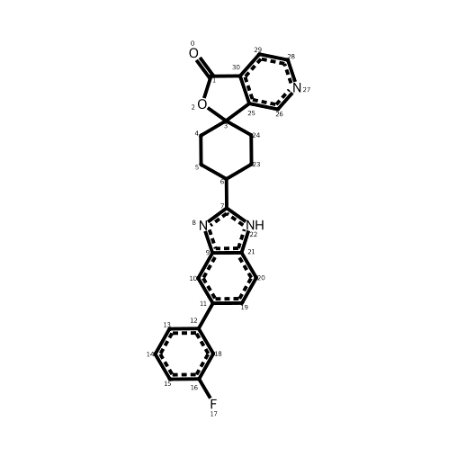 O=C1OC2(CCC(c3nc4cc(-c5cccc(F)c5)ccc4[nH]3)CC2)c2cnccc21